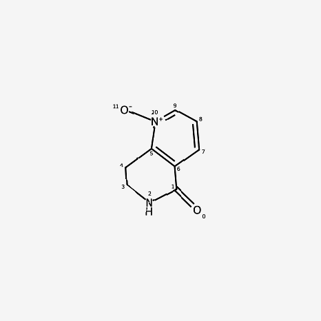 O=C1NCCc2c1ccc[n+]2[O-]